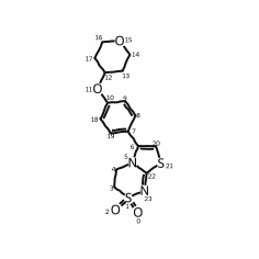 O=S1(=O)CCN2C(c3ccc(OC4CCOCC4)cc3)=CSC2=N1